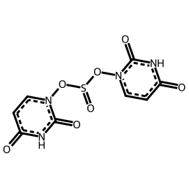 O=c1ccn(OS(=O)On2ccc(=O)[nH]c2=O)c(=O)[nH]1